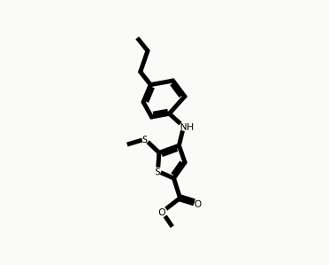 CCCc1ccc(Nc2cc(C(=O)OC)sc2SC)cc1